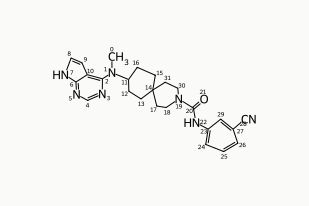 CN(c1ncnc2[nH]ccc12)C1CCC2(CC1)CCN(C(=O)Nc1cccc(C#N)c1)CC2